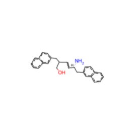 N[C@@H](C=CC(CO)Cc1ccc2ccccc2c1)Cc1ccc2ccccc2c1